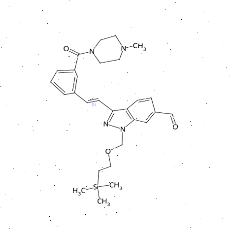 CN1CCN(C(=O)c2cccc(/C=C/c3nn(COCC[Si](C)(C)C)c4cc(C=O)ccc34)c2)CC1